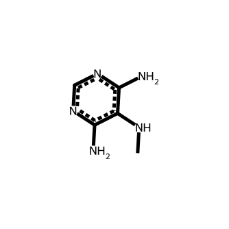 CNc1c(N)ncnc1N